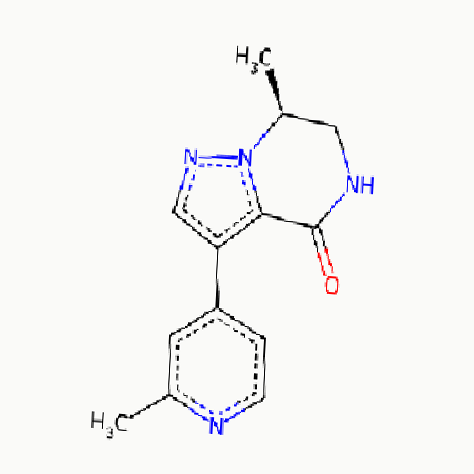 Cc1cc(-c2cnn3c2C(=O)NC[C@@H]3C)ccn1